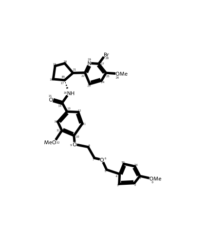 COc1ccc(COCCOc2ccc(C(=O)N[C@@H]3CCCC3c3ccc(OC)c(Br)n3)cc2OC)cc1